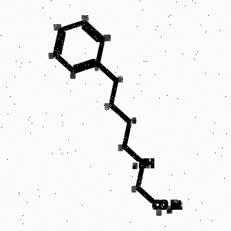 CCOC(=O)CNCCCCc1ccccc1